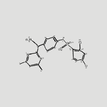 Cc1cc(C)nc(C(N)c2ccc(NS(=O)(=O)c3ccc(Cl)cc3Cl)cc2)n1